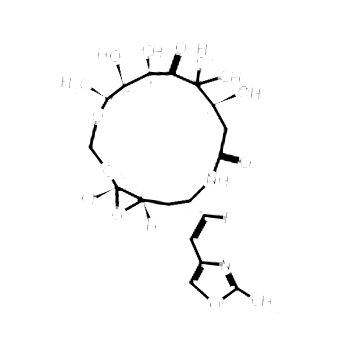 Cc1nc(C=C(F)[C@@H]2C[C@@H]3O[C@]3(Cl)CCO[C@@H](C)[C@@H](O)[C@@H](C)C(=O)C(C)(C)[C@@H](O)CC(=O)N2)co1